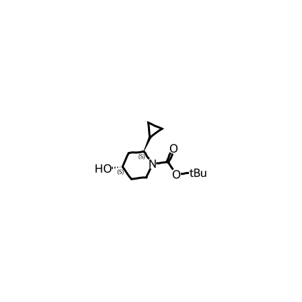 CC(C)(C)OC(=O)N1CC[C@H](O)C[C@H]1C1CC1